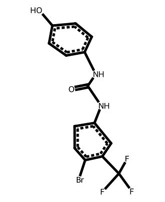 O=C(Nc1ccc(O)cc1)Nc1ccc(Br)c(C(F)(F)F)c1